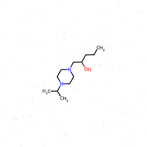 CCCC(O)CN1CCN(C(C)C)CC1